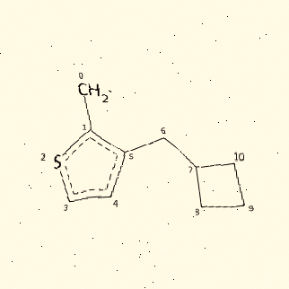 [CH2]c1sccc1CC1CCC1